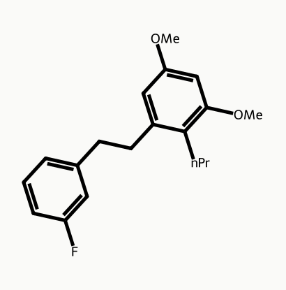 CCCc1c(CCc2cccc(F)c2)cc(OC)cc1OC